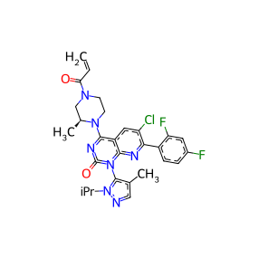 C=CC(=O)N1CCN(c2nc(=O)n(-c3c(C)cnn3C(C)C)c3nc(-c4ccc(F)cc4F)c(Cl)cc23)[C@@H](C)C1